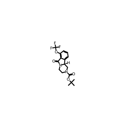 CC(C)(C)OC(=O)N1CCN2C(=O)c3c(OC(F)(F)F)cccc3[C@@H]2C1